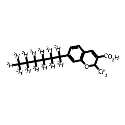 [2H]C([2H])([2H])C([2H])([2H])C([2H])([2H])C([2H])([2H])C([2H])([2H])C([2H])([2H])c1ccc2c(c1)OC(C(F)(F)F)C(C(=O)O)=C2